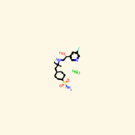 CC(C)(CC1CCC(S(N)(=O)=O)CC1)NC[C@H](O)c1cncc(F)c1.Cl.Cl